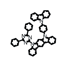 c1ccc(-c2nc(-c3ccccc3)nc(-n3c4ccccc4c4cc5c6ccccc6n(-c6ccc(-n7c8ccccc8c8ccccc87)cc6)c5cc43)n2)cc1